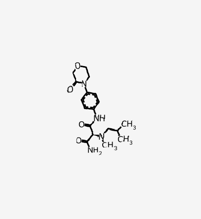 CC(C)CN(C)[C@@H](C(N)=O)C(=O)Nc1ccc(N2CCOCC2=O)cc1